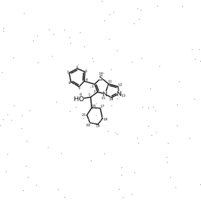 OC(c1c(-c2ccccc2)sc2cncn12)C1CCCCC1